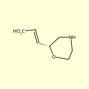 O=C(O)/C=C/[C@@H]1CNCCO1